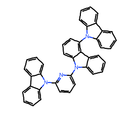 c1cc(-n2c3ccccc3c3ccccc32)nc(-n2c3ccccc3c3c(-n4c5ccccc5c5ccccc54)cccc32)c1